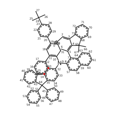 C#C/C=C1\C(=C(/C)c2c(N(C3=C(c4ccccc4)C=C(c4ccc(C(C)(C)C)cc4)CC3)c3ccc4c(c3)-c3ccccc3C4(c3ccccc3)c3ccccc3)ccc3ccccc23)C(C)(C)c2ccccc21